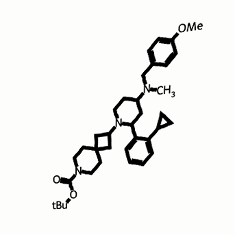 COc1ccc(CN(C)C2CCN(C3CC4(CCN(C(=O)OC(C)(C)C)CC4)C3)C(c3ccccc3C3CC3)C2)cc1